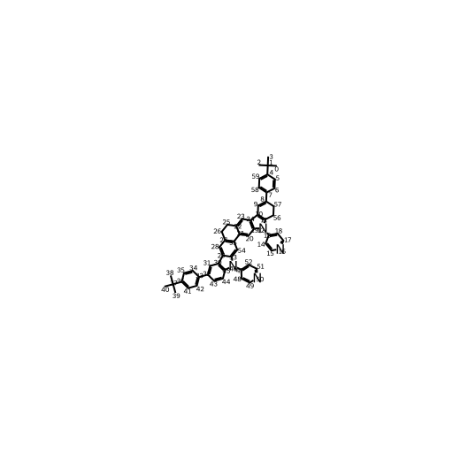 CC(C)(C)c1ccc(C2=Cc3c(n(-c4ccncc4)c4cc5c(cc34)CCc3cc4c6cc(-c7ccc(C(C)(C)C)cc7)ccc6n(-c6ccncc6)c4cc3-5)CC2)cc1